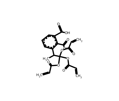 C=CC(=O)OC(OC(=O)C=C)(OC(=O)C=C)C(C)c1cccc(C(=O)O)c1C(=O)O